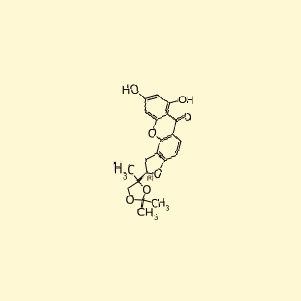 CC1(C)OCC(C)([C@H]2Cc3c(ccc4c(=O)c5c(O)cc(O)cc5oc34)O2)O1